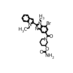 CCn1c(-c2nc3cc(C(=O)N4CCCC(OC(N)=O)C4)cc(Br)c3n2C)cc2ccccc21